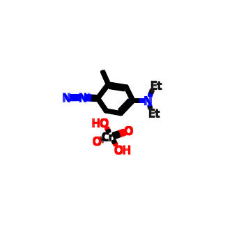 CCN(CC)C1=CCC(=[N+]=[N-])C(C)=C1.[O]=[Cr](=[O])([OH])[OH]